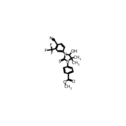 COC(=O)c1ccc(N2C(=S)N(c3ccc(C#N)c(C(F)(F)F)c3)C(O)C2(C)C)cc1